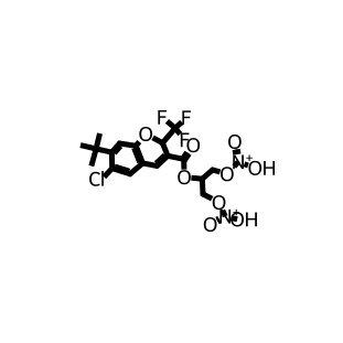 CC(C)(C)c1cc2c(cc1Cl)C=C(C(=O)OC(CO[N+](=O)O)CO[N+](=O)O)C(C(F)(F)F)O2